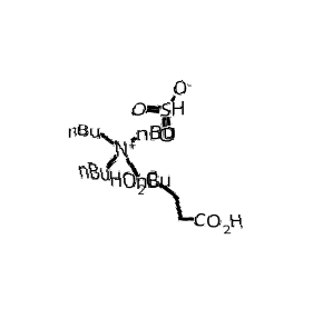 CCCC[N+](CCCC)(CCCC)CCCC.O=C(O)CCC(=O)O.O=[SH](=O)[O-]